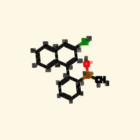 C[S+]([O-])c1ccccc1-c1cc(Br)cc2ccccc12